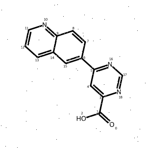 O=C(O)c1cc(-c2ccc3ncccc3c2)ncn1